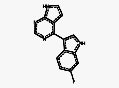 Fc1ccc2c(-c3ncnc4[nH]ccc34)c[nH]c2c1